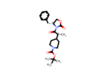 C[C@@H](C(=O)N1C(=O)OC[C@H]1Cc1ccccc1)C1CCN(C(=O)OC(C)(C)C)CC1